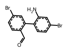 Nc1cc(Br)ccc1-c1cc(Br)ccc1C=O